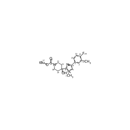 Cc1cc(-c2cn(C)c(C3(O)CCN(C(=O)OC(C)(C)C)CC3)n2)ccc1F